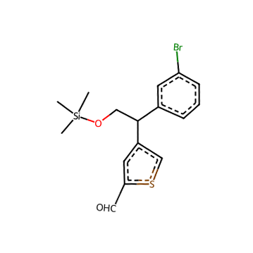 C[Si](C)(C)OCC(c1cccc(Br)c1)c1csc(C=O)c1